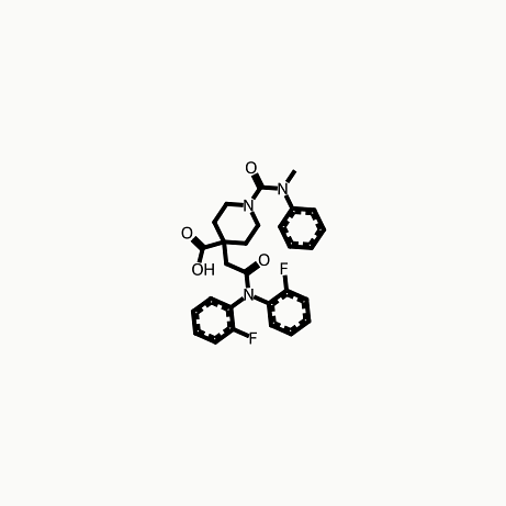 CN(C(=O)N1CCC(CC(=O)N(c2ccccc2F)c2ccccc2F)(C(=O)O)CC1)c1ccccc1